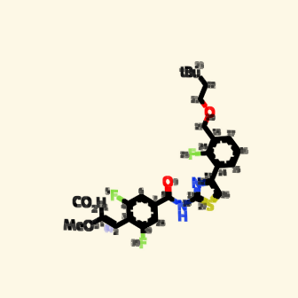 CO/C(=C/c1c(F)cc(C(=O)Nc2nc(-c3cccc(COCCC(C)(C)C)c3F)cs2)cc1F)C(=O)O